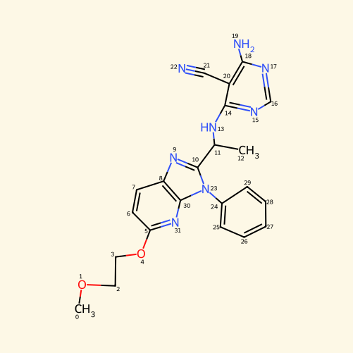 COCCOc1ccc2nc(C(C)Nc3ncnc(N)c3C#N)n(-c3ccccc3)c2n1